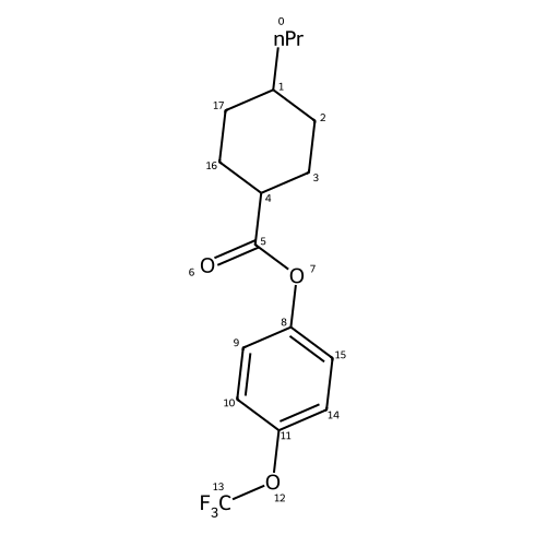 CCCC1CCC(C(=O)Oc2ccc(OC(F)(F)F)cc2)CC1